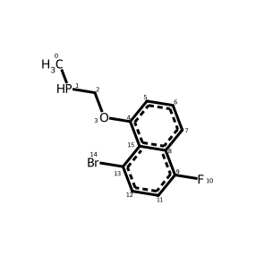 CPCOc1cccc2c(F)ccc(Br)c12